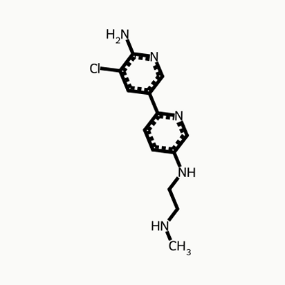 CNCCNc1ccc(-c2cnc(N)c(Cl)c2)nc1